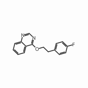 Fc1ccc(CCOc2ncnc3ccccc23)cc1